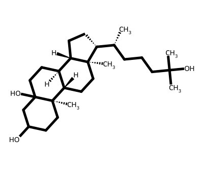 C[C@H](CCCC(C)(C)O)[C@H]1CC[C@H]2[C@@H]3CCC4(O)CC(O)CC[C@]4(C)[C@H]3CC[C@]12C